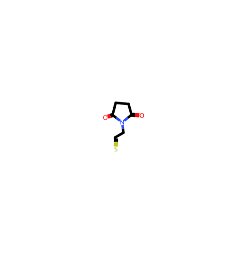 O=C1CCC(=O)N1CC=S